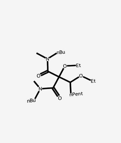 CCCCCC(OCC)C(OCC)(C(=O)N(C)CCCC)C(=O)N(C)CCCC